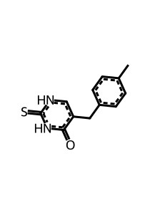 Cc1ccc(Cc2c[nH]c(=S)[nH]c2=O)cc1